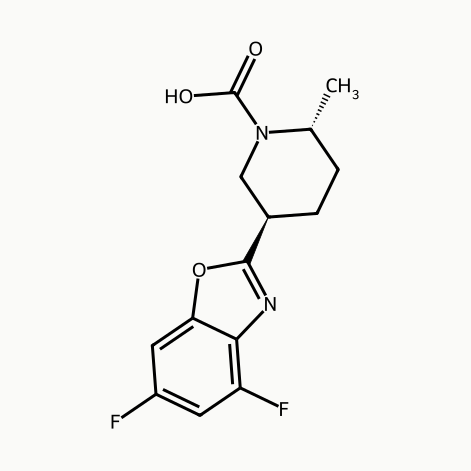 C[C@@H]1CC[C@@H](c2nc3c(F)cc(F)cc3o2)CN1C(=O)O